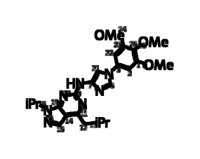 COc1cc(-n2cnc(Nc3nc(CC(C)C)c4cnn(C(C)C)c4n3)c2)cc(OC)c1OC